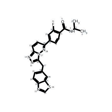 CC(C)NC(=O)c1ccc(-c2ccc3nnc(Cc4ccc5ncsc5c4)n3n2)cc1F